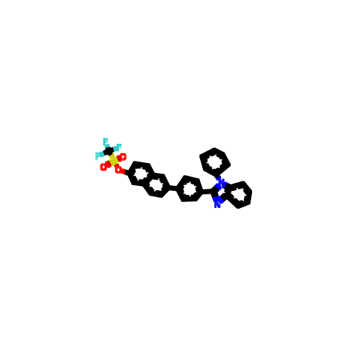 O=S(=O)(Oc1ccc2cc(-c3ccc(-c4nc5ccccc5n4-c4ccccc4)cc3)ccc2c1)C(F)(F)F